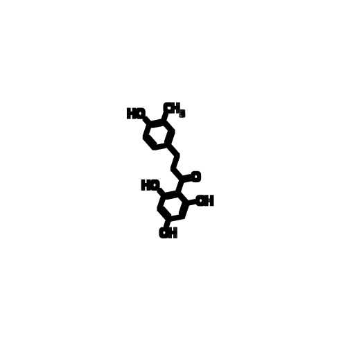 Cc1cc(CCC(=O)c2c(O)cc(O)cc2O)ccc1O